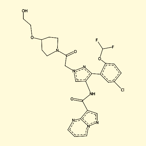 O=C(Nc1cn(CC(=O)N2CCC(OCCO)CC2)nc1-c1cc(Cl)ccc1OC(F)F)c1cnn2cccnc12